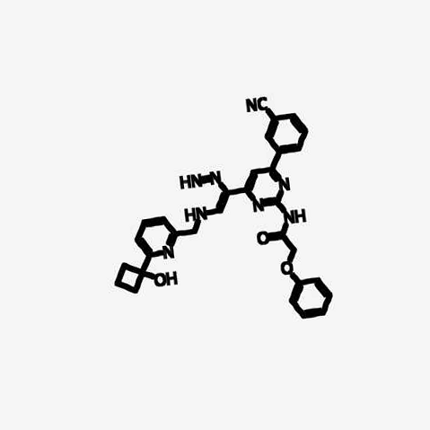 N#Cc1cccc(-c2cc(/C(=C/NCc3cccc(C4(O)CCC4)n3)N=N)nc(NC(=O)COc3ccccc3)n2)c1